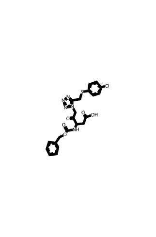 O=C(O)CC(NC(=O)OCc1ccccc1)C(=O)Cn1nnnc1CSc1ccc(Cl)cc1